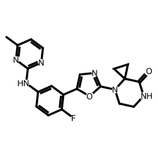 Cc1ccnc(Nc2ccc(F)c(-c3cnc(N4CCNC(=O)C45CC5)o3)c2)n1